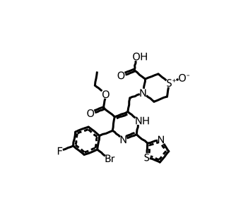 CCOC(=O)C1=C(CN2CC[S+]([O-])CC2C(=O)O)NC(c2nccs2)=NC1c1ccc(F)cc1Br